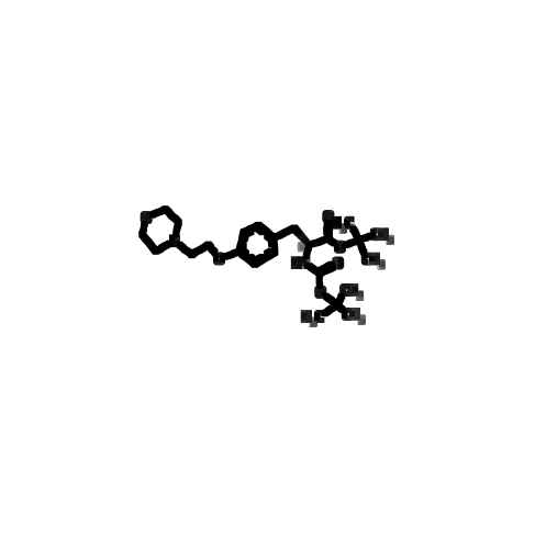 CC(C)(C)OC(=O)N[C@@H](Cc1ccc(OCCN2CCOCC2)cc1)C(=O)OC(C)(C)C